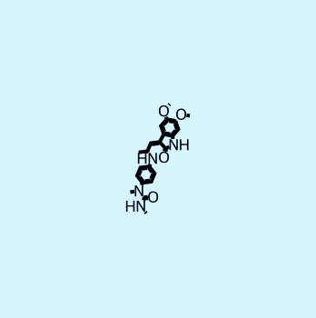 CNC(=O)N(C)c1ccc(NC(C)C=C2C(=O)Nc3cc(OC)c(OC)cc32)cc1